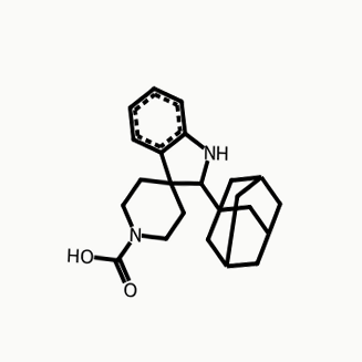 O=C(O)N1CCC2(CC1)c1ccccc1NC2C12CC3CC(CC(C3)C1)C2